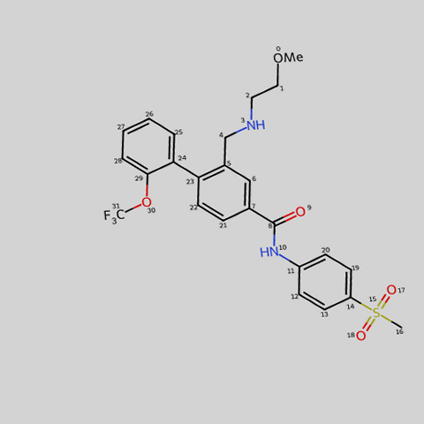 COCCNCc1cc(C(=O)Nc2ccc(S(C)(=O)=O)cc2)ccc1-c1ccccc1OC(F)(F)F